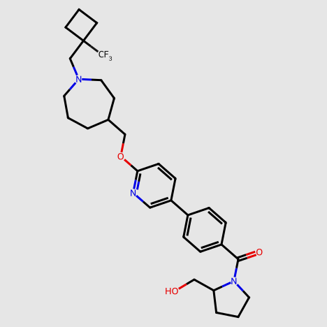 O=C(c1ccc(-c2ccc(OCC3CCCN(CC4(C(F)(F)F)CCC4)CC3)nc2)cc1)N1CCCC1CO